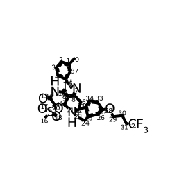 Cc1cccc(-n2nc3c(c2NC(=O)CS(C)(=O)=O)C(=O)N[C@@]2(CCc4cc(OCCCC(F)(F)F)ccc42)C3)c1